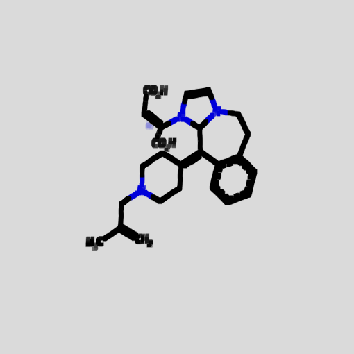 C=C(C)CN1CCC(=C2c3ccccc3CCN3C=CN(/C(=C\C(=O)O)C(=O)O)C23)CC1